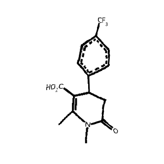 CC1=C(C(=O)O)C(c2ccc(C(F)(F)F)cc2)CC(=O)N1C